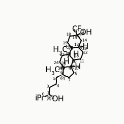 CC(C)[C@H](O)CCC[C@@H]1CC[C@H]2[C@@H]3CC[C@H]4C[C@](O)(C(F)(F)F)CC[C@]4(C)[C@H]3CC[C@]12C